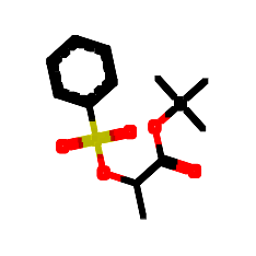 CC(OS(=O)(=O)c1ccccc1)C(=O)O[Si](C)(C)C